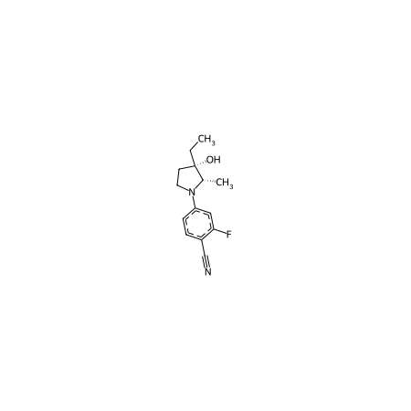 CC[C@]1(O)CCN(c2ccc(C#N)c(F)c2)[C@H]1C